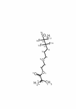 C=C(C)C(=O)OCCOCCCC(F)(F)C(F)(F)S(=O)(=O)O